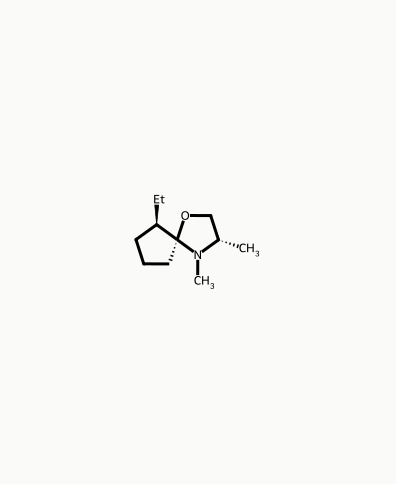 CC[C@@H]1CCC[C@@]12OC[C@H](C)N2C